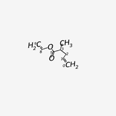 C=CCC(C)C(=O)OC=C